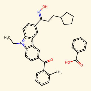 CCn1c2ccc(C(=O)c3ccccc3C)cc2c2cc(C(CCC3CCCC3)=NO)ccc21.O=C(O)c1ccccc1